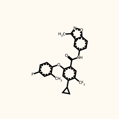 Cc1cc(F)ccc1Oc1cc(C2CC2)c(C(F)(F)F)cc1C(=O)Nc1ccc2onc(C)c2c1